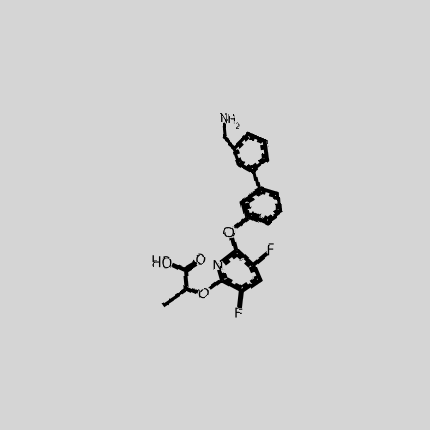 CC(Oc1nc(Oc2cccc(-c3cccc(CN)c3)c2)c(F)cc1F)C(=O)O